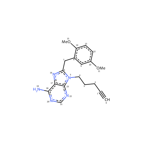 C#CCCCn1c(Cc2cc(OC)ccc2OC)nc2c(N)ncnc21